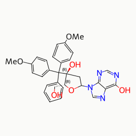 COc1ccc(C(c2ccccc2)(c2ccc(OC)cc2)[C@]2(O)CC(n3cnc4c(O)ncnc43)O[C@@H]2CO)cc1